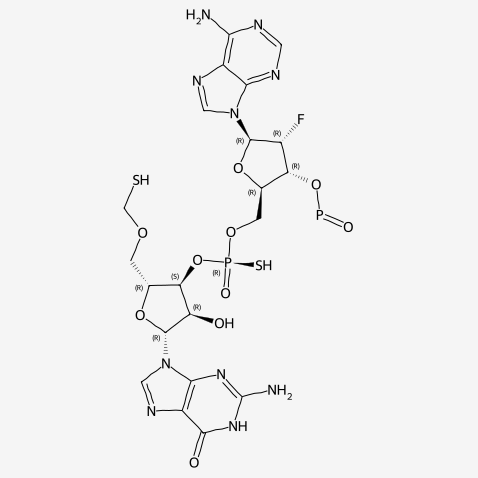 Nc1nc2c(ncn2[C@@H]2O[C@H](COCS)[C@@H](O[P@](=O)(S)OC[C@H]3O[C@@H](n4cnc5c(N)ncnc54)[C@H](F)[C@@H]3OP=O)[C@H]2O)c(=O)[nH]1